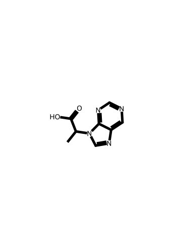 CC(C(=O)O)n1cnc2cncnc21